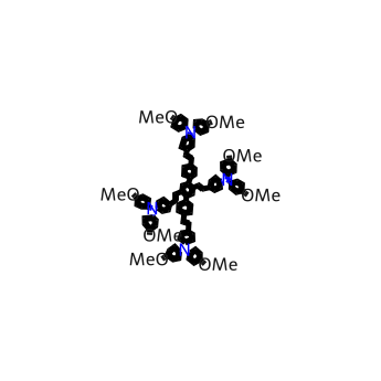 COc1ccc(N(c2ccc(/C=C/c3ccc(-c4cc(/C=C/c5ccc(N(c6ccc(OC)cc6)c6ccc(OC)cc6)cc5)c(-c5ccc(/C=C/c6ccc(N(c7ccc(OC)cc7)c7ccc(OC)cc7)cc6)cc5)cc4/C=C/c4ccc(N(c5ccc(OC)cc5)c5ccc(OC)cc5)cc4)cc3)cc2)c2ccc(OC)cc2)cc1